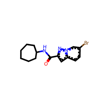 O=C(NC1CCCCCC1)c1cc2ccc(Br)cn2n1